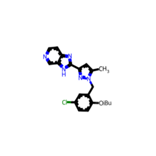 Cc1cc(-c2nc3ccncc3[nH]2)nn1Cc1cc(Cl)ccc1OCC(C)C